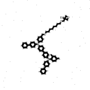 CCC1(COCCCCCCCCOCc2ccc(N(c3ccc(-c4ccccc4)cc3)c3ccc(-c4ccc(N(c5ccc(-c6ccccc6)cc5)c5ccc(C)cc5C)cc4)cc3)cc2)COC1